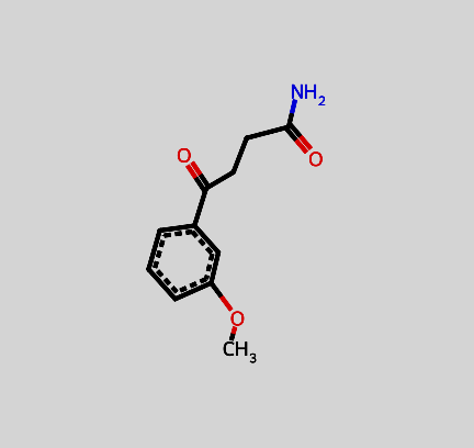 COc1cccc(C(=O)CCC(N)=O)c1